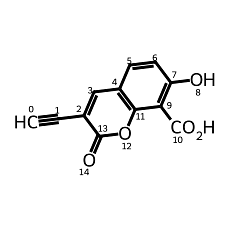 C#Cc1cc2ccc(O)c(C(=O)O)c2oc1=O